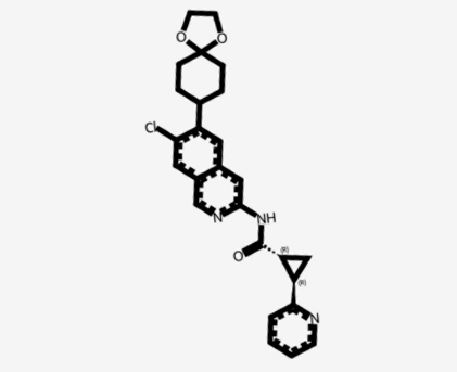 O=C(Nc1cc2cc(C3CCC4(CC3)OCCO4)c(Cl)cc2cn1)[C@@H]1C[C@H]1c1ccccn1